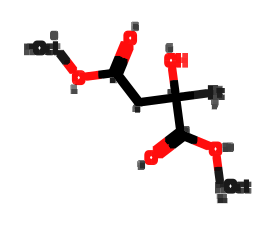 CCCCCCCCOC(=O)CC(O)(CC)C(=O)OCCCCCCCC